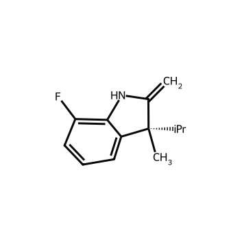 C=C1Nc2c(F)cccc2[C@@]1(C)C(C)C